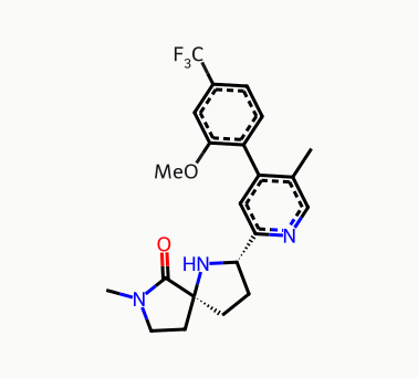 COc1cc(C(F)(F)F)ccc1-c1cc([C@@H]2CC[C@@]3(CCN(C)C3=O)N2)ncc1C